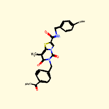 COC(=O)c1ccc(Cn2c(=O)c(C)c3sc(C(=O)NCc4ccc(OC)cc4)cn3c2=O)cc1